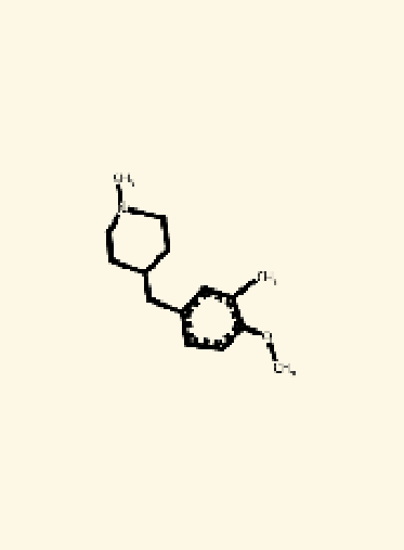 COc1ccc(CC2CCN(C)CC2)cc1C